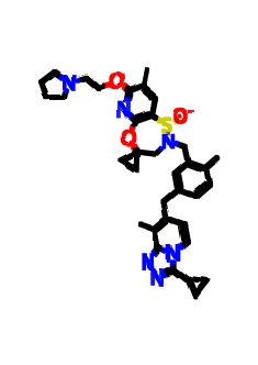 Cc1ccc(Cc2ccn3c(C4CC4)nnc3c2C)cc1CN1CC2(CC2)Oc2nc(OCCN3CCCC3)c(C)cc2[S+]1[O-]